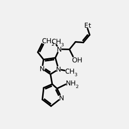 C=Cc1nc(-c2cccnc2N)n(C)c1N(C)C(O)C/C=C\CC